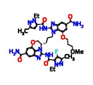 CCn1nc(C)cc1C(=O)Nc1nc2cc(C(N)=O)cc(OCCCOC)c2n1CCC[C@H]1COc2cc(C(N)=O)cc3nc(NC(=O)c4c(F)c(C)nn4CC)n1c23